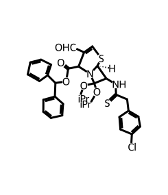 CC(C)OC1(OC(C)C)C(NC(=S)Cc2ccc(Cl)cc2)[C@@H]2SC=C(C=O)C(C(=O)OC(c3ccccc3)c3ccccc3)N21